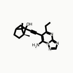 CCc1nc2ncnn2c(N)c1C#CC1(O)CC2CC[C@]1(C)C2(C)C